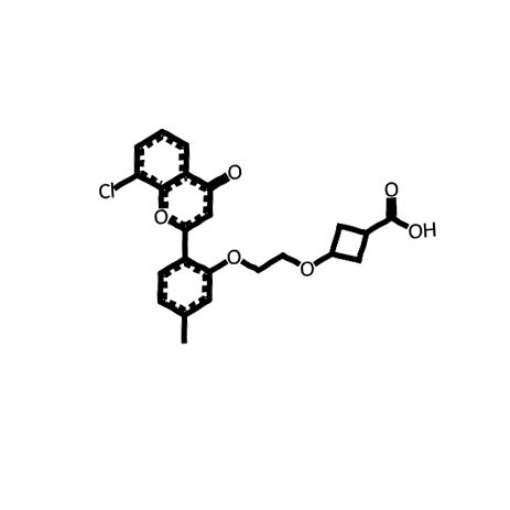 Cc1ccc(-c2cc(=O)c3cccc(Cl)c3o2)c(OCCOC2CC(C(=O)O)C2)c1